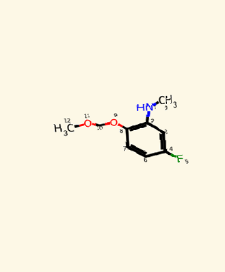 CNc1cc(F)ccc1OCOC